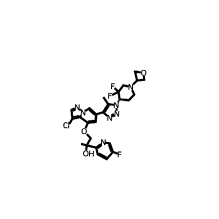 Cc1c(-c2cc(OCC(C)(O)c3ccc(F)cn3)c3c(Cl)cnn3c2)nnn1[C@@H]1CCN(C2COC2)CC1(F)F